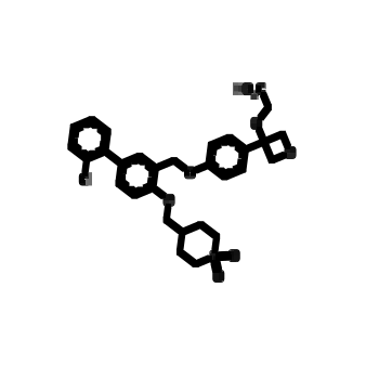 O=C(O)COC1(c2ccc(OCc3cc(-c4ccccc4Cl)ccc3OCC3CCS(=O)(=O)CC3)cc2)COC1